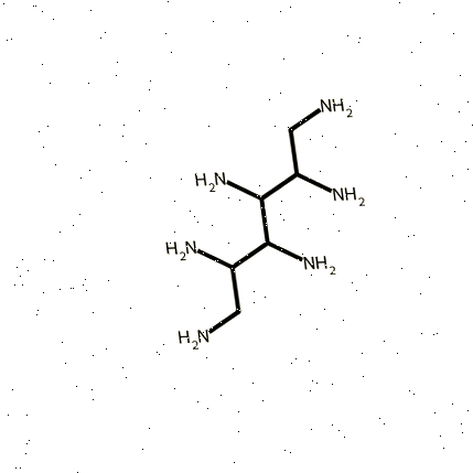 NCC(N)C(N)C(N)C(N)CN